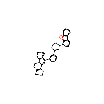 C1=CC2=C(CC1)c1cc(-c3cccc(C4=CC(c5cccc6c5oc5ccccc56)CCC4)c3)c3ccccc3c1CC2